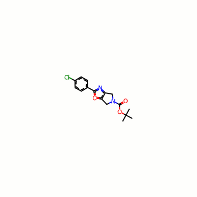 CC(C)(C)OC(=O)N1Cc2nc(-c3ccc(Cl)cc3)oc2C1